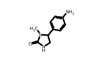 CN1C(=O)NCC1c1ccc(N)cc1